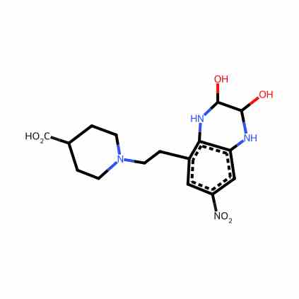 O=C(O)C1CCN(CCc2cc([N+](=O)[O-])cc3c2NC(O)C(O)N3)CC1